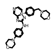 C1=C[N+]2(c3ccc(CN4CCOCC4)cc3)N=C(Nc3ccc(N4CCOCC4)cc3)N=C2C=N1